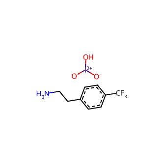 NCCc1ccc(C(F)(F)F)cc1.[O-][I+2]([O-])O